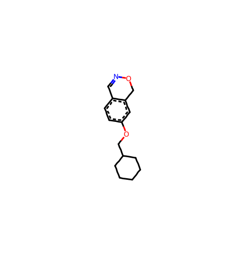 C1=NOCc2cc(OCC3CCCCC3)ccc21